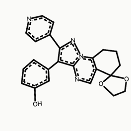 Oc1cccc(-c2c(-c3ccncc3)nn3c4c(cnc23)C2(CCC4)OCCO2)c1